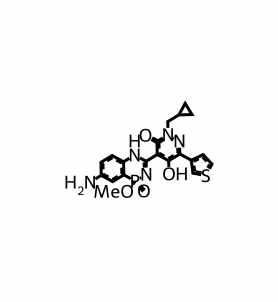 COP1(=O)N=C(c2c(O)c(-c3ccsc3)nn(CC3CC3)c2=O)Nc2ccc(N)cc21